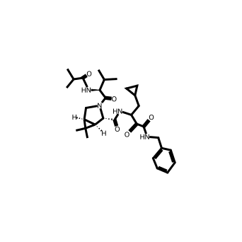 CC(C)C(=O)N[C@H](C(=O)N1C[C@H]2[C@@H]([C@H]1C(=O)NC(CC1CC1)C(=O)C(=O)NCc1ccccc1)C2(C)C)C(C)C